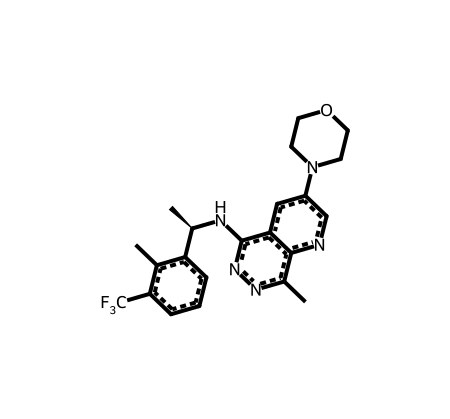 Cc1c([C@@H](C)Nc2nnc(C)c3ncc(N4CCOCC4)cc23)cccc1C(F)(F)F